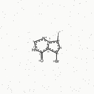 O=c1[nH]cnn2c(I)cc(Br)c12